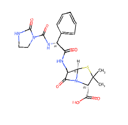 CC1(C)S[C@@H]2C(NC(=O)[C@H](NC(=O)N3CCNC3=O)c3ccccc3)C(=O)N2[C@H]1C(=O)O